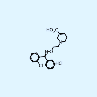 Cl.O=C(O)C1=CCCN(CCO/N=C(\c2ccccc2)c2ccccc2Cl)C1